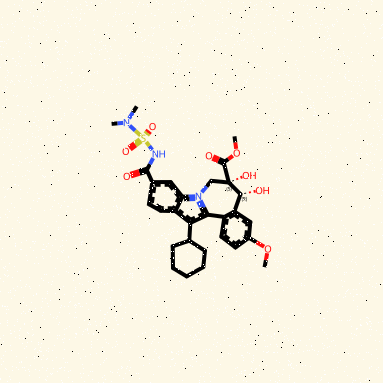 COC(=O)[C@]1(O)Cn2c(c(C3CCCCC3)c3ccc(C(=O)NS(=O)(=O)N(C)C)cc32)-c2ccc(OC)cc2[C@H]1O